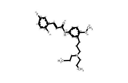 CCCN(CCC)CCCc1cc(NC(=O)C=Cc2cc(F)ccc2F)ccc1OC